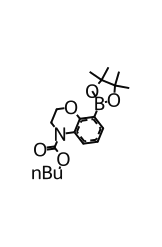 CCCCOC(=O)N1CCOc2c(B3OC(C)(C)C(C)(C)O3)cccc21